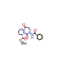 CC(C)(C)OC(=O)[C@@H]1CCCN2C(=O)CCN(NC(=O)c3ccccc3)C(=O)N12